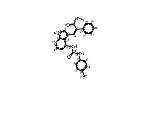 NC(=O)C(=Cc1c[nH]c2nccc(NC(=O)Nc3ccc(Br)cc3)c12)c1ccccc1